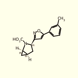 Cc1cccc(-c2cc([C@H]3C[C@H]4C[C@H]4N3C(=O)O)no2)c1